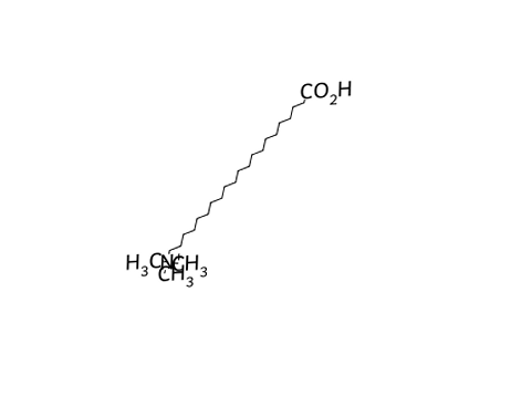 C[N+](C)(C)CCCCCCCCCCCCCCCCCCCCC(=O)O